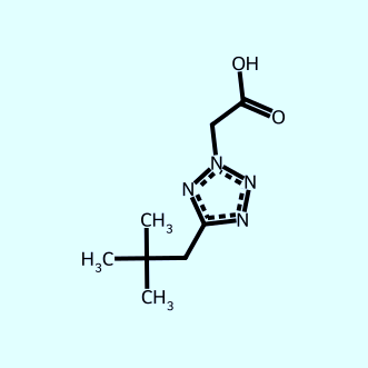 CC(C)(C)Cc1nnn(CC(=O)O)n1